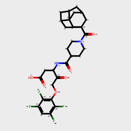 O=C(O)CC(NC(=O)C1CCN(C(=O)C23CC4CC5CC(C2)C5(C4)C3)CC1)C(=O)COc1c(F)c(F)cc(F)c1F